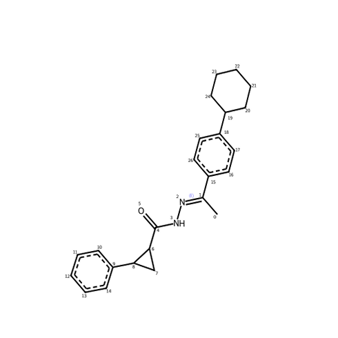 C/C(=N\NC(=O)C1CC1c1ccccc1)c1ccc(C2CCCCC2)cc1